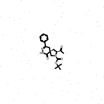 CC(=O)[C@@H]1C[C@@]2(CC(c3ccccc3)=NNC2=O)CN1C(=O)OC(C)(C)C